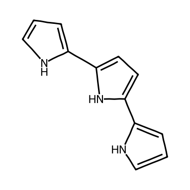 c1c[nH]c(-c2ccc(-c3ccc[nH]3)[nH]2)c1